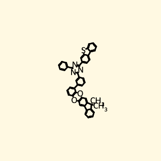 CC1(C)c2ccccc2-c2cc3c(cc21)Oc1c(cccc1-c1cccc(-c2nc(-c4ccccc4)nc(-c4ccc5c(c4)sc4ccccc45)n2)c1)O3